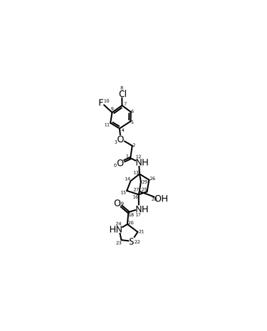 O=C(COc1ccc(Cl)c(F)c1)NC12CCC(NC(=O)C3CSCN3)(CC1)C(O)C2